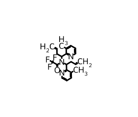 C=CCC(c1ncccc1C)N(C(=O)C(F)(F)F)C(CC=C)c1ncccc1C